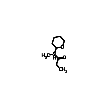 CCC(=O)[SiH](C)C1CCCCO1